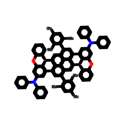 CC(C)(C)c1cc(C(C)(C)C)c(-c2cc3c4c(cc5c(-c6c(C(C)(C)C)cc(C(C)(C)C)cc6C(C)(C)C)cc6c7c(cc2c4c57)B2c4ccccc4Oc4cc(N(c5ccccc5)c5ccccc5)cc-6c42)B2c4ccccc4Oc4cc(N(c5ccccc5)c5ccccc5)cc-3c42)c(C(C)(C)C)c1